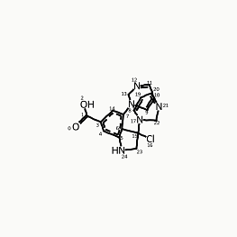 O=C(O)c1cc2c(c(N3C=CC=NC3)c1)C(Cl)(N1C=CC=NC1)CN2